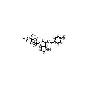 CC(C)(C)OC(=O)N1CC(OCc2ccc(F)cc2)C2NCCC21